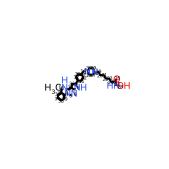 C[C@@H](Nc1ncnc2[nH]c(-c3ccc(CN4CCN(CCCCCCC(=O)NO)CC4)cc3)cc12)c1ccccc1